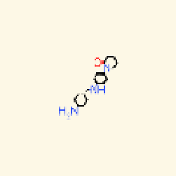 N[C@H]1CC[C@H](CNc2ccc(N3CCCCC3=O)cc2)CC1